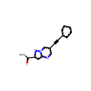 COC(=O)c1cc2ncc(C#Cc3ccccc3)cn2n1